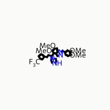 COc1ccc(Cn2ncc3c(C(CCc4cccc(C(F)(F)F)c4)N4CCNCC4)c(OC)c(OC)cc32)cc1OC